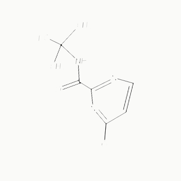 CC(C)(C)NC(=O)c1nccc([O])n1